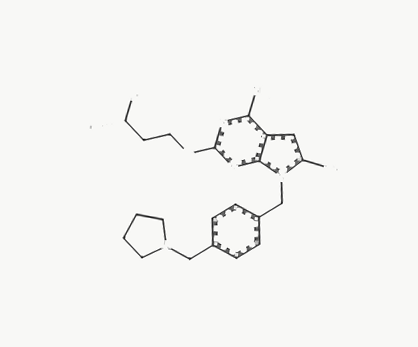 CCC[C@H](O)CCOc1nc(N)c2cc(C#N)n(Cc3ccc(CN4CCCC4)cc3)c2n1